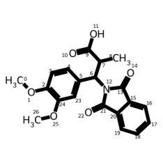 COc1ccc(C(C(C)C(=O)O)N2C(=O)c3ccccc3C2=O)cc1OC